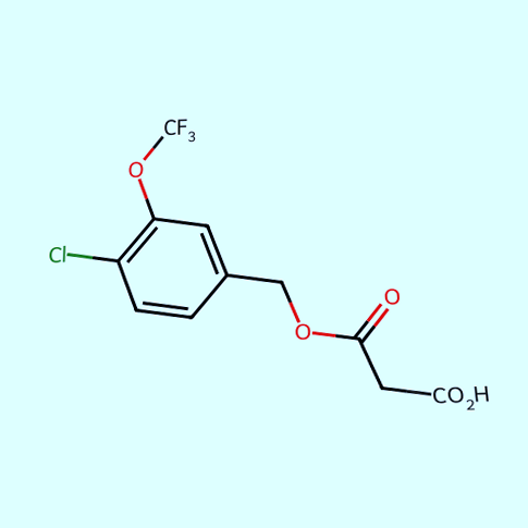 O=C(O)CC(=O)OCc1ccc(Cl)c(OC(F)(F)F)c1